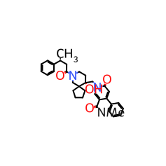 CNC(=O)c1cn(CC2(O)CCN(C(=O)C[C@@H](C)c3ccccc3)CC23CCCC3)c(=O)cc1-c1ccccc1